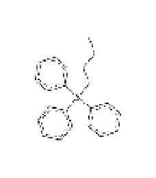 CCCCS(c1ccccc1)(c1ccccc1)c1ccccc1